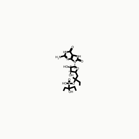 CCC(C)(CC1O[C@@H](n2c(=O)[nH]c3c(=O)[nH]c(N)nc32)[C@H](O)[C@@H]1O)OP(=O)(O)C(O)(CC)CC